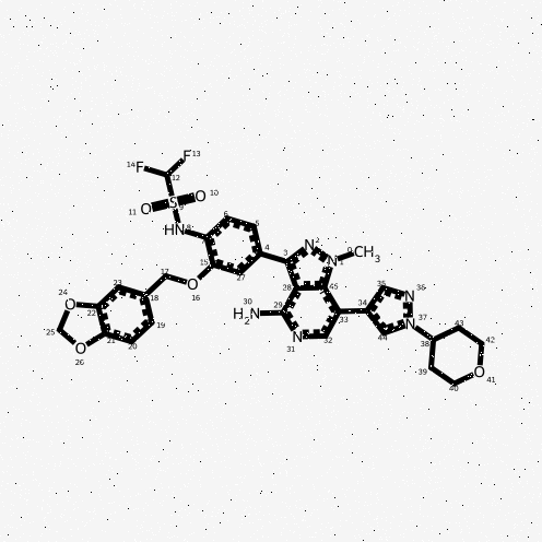 Cn1nc(-c2ccc(NS(=O)(=O)C(F)F)c(OCc3ccc4c(c3)OCO4)c2)c2c(N)ncc(-c3cnn(C4CCOCC4)c3)c21